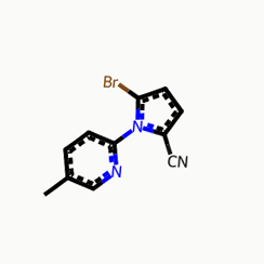 Cc1ccc(-n2c(Br)ccc2C#N)nc1